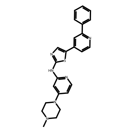 CN1CCN(c2ccnc(Nc3ncc(-c4ccnc(-c5ccccc5)c4)s3)c2)CC1